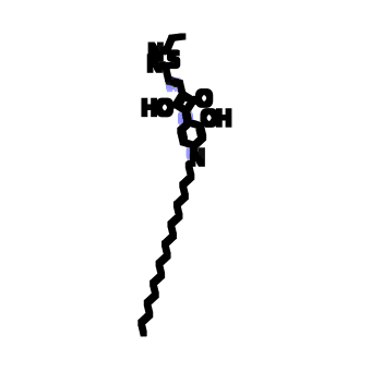 CCCCCCCCCCCCCCCCCC/N=C1C=C/C(=C2/C(=O)C(/C=C/c3nnc(CC)s3)=C2O)C(O)=C\1